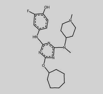 CN1CCC(N(C)c2nc(Nc3ccc(O)c(F)c3)nc(OC3CCCCCC3)n2)CC1